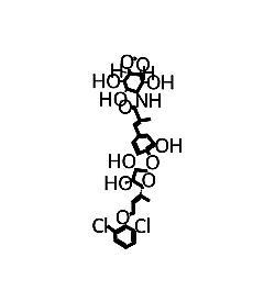 C/C(=C\c1ccc(O[C@@H]2O[C@H](/C(C)=C/COc3c(Cl)cccc3Cl)[C@@H](O)[C@@H]2O)c(O)c1)C(=O)N[C@@H]1[C@H](O)[C@@H](O)[C@H]2OCO[C@H]2[C@@H]1O